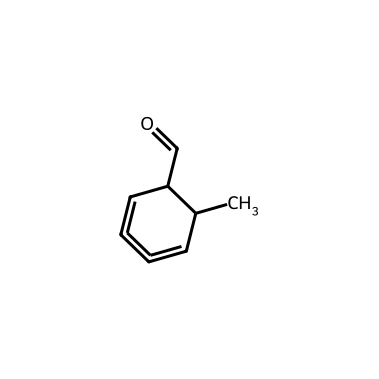 CC1C=C=C=CC1C=O